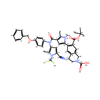 Cc1c(C(=O)N(c2ccc(OCc3ccccc3)cc2)c2cc(C#N)n(C(F)F)c2C)cc(-c2cc3c(cc2C(=O)OC(C)(C)C)CN(C(=O)O)CC3)n1C